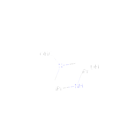 CC(C)NC(C)C.CN(C)C=O.[LiH]